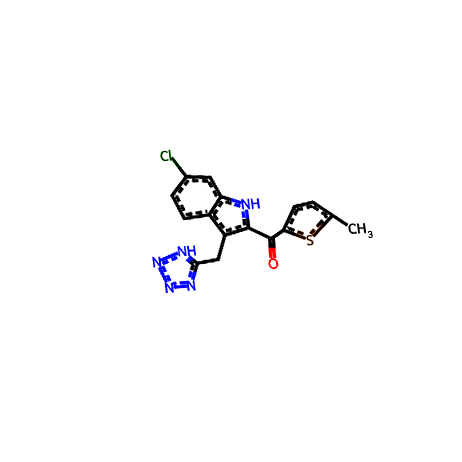 Cc1ccc(C(=O)c2[nH]c3cc(Cl)ccc3c2Cc2nnn[nH]2)s1